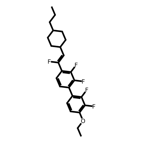 CCCC1CCC(C=C(F)c2ccc(-c3ccc(OCC)c(F)c3F)c(F)c2F)CC1